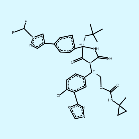 CC(C)(C)C[C@]1(c2ccc(-c3cnn(C(F)F)c3)cc2)NC(=N)N([C@H](COC(=O)NC2(C)CC2)c2ccc(Cl)c(-c3nncs3)c2)C1=O